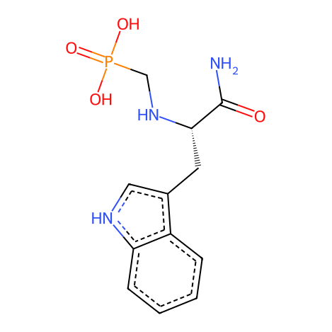 NC(=O)[C@H](Cc1c[nH]c2ccccc12)NCP(=O)(O)O